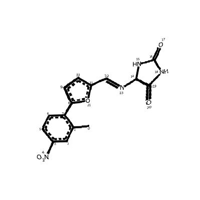 Cc1cc([N+](=O)[O-])ccc1-c1ccc(C=NC2NC(=O)NC2=O)o1